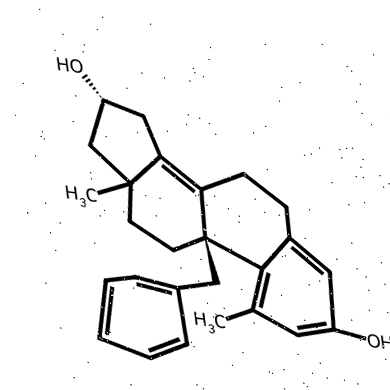 Cc1cc(O)cc2c1[C@]1(Cc3ccccc3)CCC3(C)C[C@H](O)CC3=C1CC2